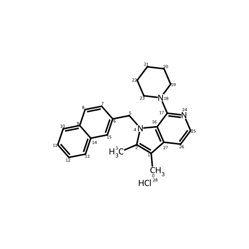 Cc1c(C)n(Cc2ccc3ccccc3c2)c2c(N3CCCCC3)nccc12.Cl